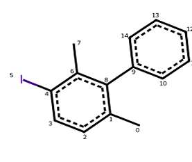 Cc1ccc(I)c(C)c1-c1ccccc1